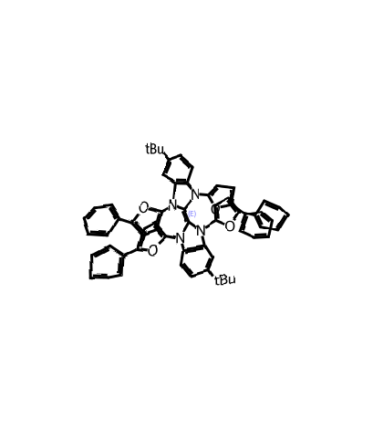 CC(C)(C)c1ccc2c(c1)N(c1ccc(-c3ccccc3)o1)/C(=C1\N(c3ccc(-c4ccccc4)o3)c3ccc(C(C)(C)C)cc3N1c1ccc(-c3ccccc3)o1)N2c1ccc(-c2ccccc2)o1